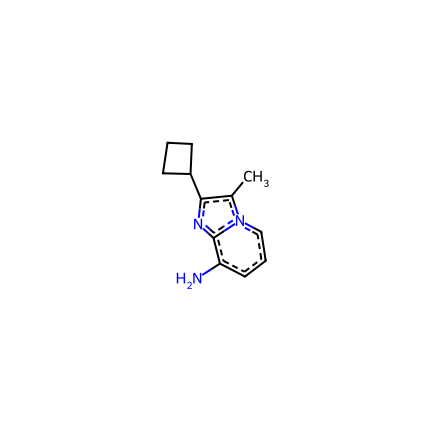 Cc1c(C2CCC2)nc2c(N)cccn12